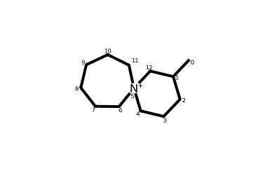 CC1CCC[N+]2(CCCCCC2)C1